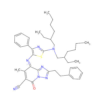 CCCCC(CC)CN(CC(CC)CCCC)c1nc(-c2ccccc2)c(/N=C2/C(C)=C(C#N)C(=O)n3nc(CCc4ccccc4)nc32)s1